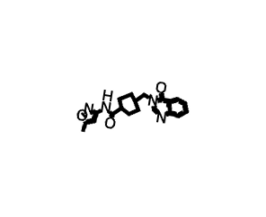 Cc1cc(NC(=O)C2CCC(Cn3cnc4ccccc4c3=O)CC2)no1